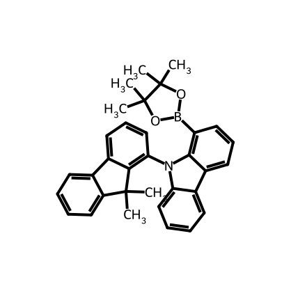 CC1(C)c2ccccc2-c2cccc(-n3c4ccccc4c4cccc(B5OC(C)(C)C(C)(C)O5)c43)c21